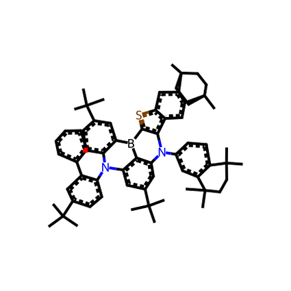 CC(C)(C)c1ccc2c(c1)B1c3sc4cc5c(cc4c3N(c3ccc4c(c3)C(C)(C)CCC4(C)C)c3cc(C(C)(C)C)cc(c31)N2c1ccc(C(C)(C)C)cc1-c1ccccc1)C1(C)CCC5(C)CC1